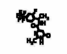 Cc1nc(C(=O)NC(C)c2ccc(S(F)(F)(F)(F)F)cc2F)cc(=O)[nH]1